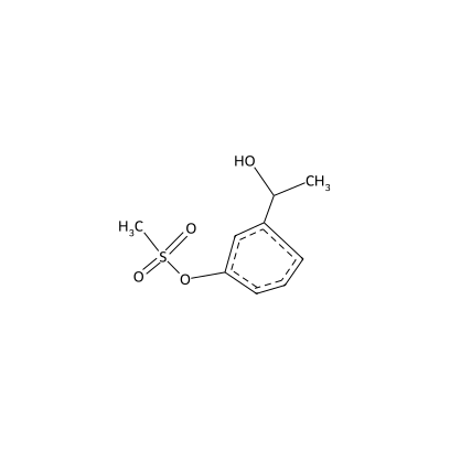 CC(O)c1cccc(OS(C)(=O)=O)c1